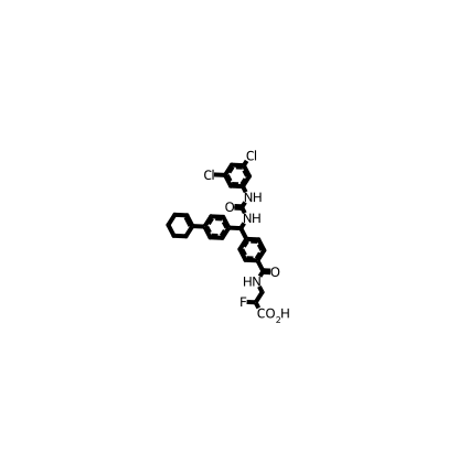 O=C(Nc1cc(Cl)cc(Cl)c1)NC(c1ccc(C(=O)NCC(F)C(=O)O)cc1)c1ccc(C2=CCCCC2)cc1